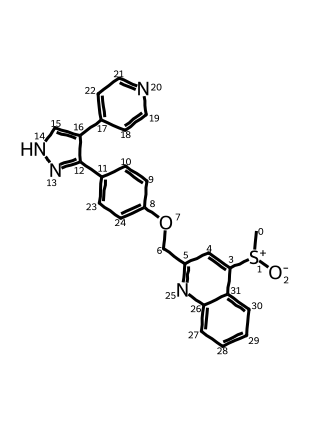 C[S+]([O-])c1cc(COc2ccc(-c3n[nH]cc3-c3ccncc3)cc2)nc2ccccc12